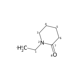 [CH2]CN1CCCCC1=O